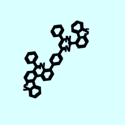 c1ccc(-c2cc(-c3ccc(-c4cccc5c4nc(-c4ccccc4)c4ccc6sc7ccccc7c6c45)cc3)nc(-c3cccc4sc5ccccc5c34)n2)cc1